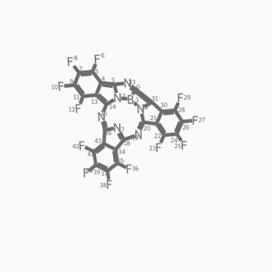 CB1n2c3c4c(F)c(F)c(F)c(F)c4c2/N=C2N=C(/N=c4/c5c(F)c(F)c(F)c(F)c5c(n41)=N3)c1c(F)c(F)c(F)c(F)c1\2